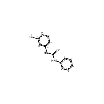 O=C(Nc1ccccc1)Nc1ccnc(Br)c1